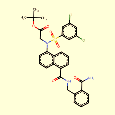 CC(C)(C)OC(=O)CN(c1cccc2c(C(=O)NCc3ccccc3C(N)=O)cccc12)S(=O)(=O)c1cc(Cl)cc(Cl)c1